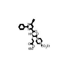 C#Cc1cc(C(=O)N[C@@H](CCC(=O)OC(C)(C)C)C(=O)N2CCN(C(=O)OCC)CC2)nc(-c2ccccc2)n1